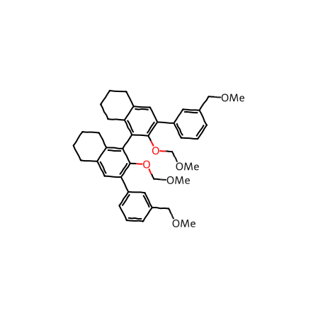 COCOc1c(-c2cccc(COC)c2)cc2c(c1-c1c3c(cc(-c4cccc(COC)c4)c1OCOC)CCCC3)CCCC2